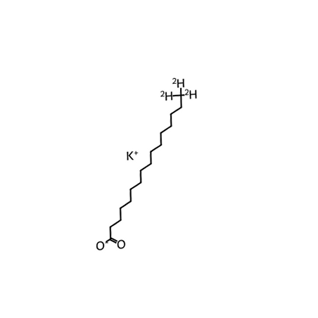 [2H]C([2H])([2H])CCCCCCCCCCCCCCC(=O)[O-].[K+]